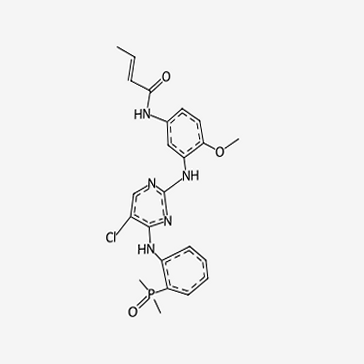 CC=CC(=O)Nc1ccc(OC)c(Nc2ncc(Cl)c(Nc3ccccc3P(C)(C)=O)n2)c1